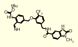 Cn1c(=O)[nH]c2cc(C(=O)NCc3ccc(C(F)(F)F)c(OCc4ccc(NC(=O)OC(C)(C)C)c(C=N)c4)c3)ccc21